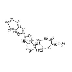 CC(C)C[C@H](NC(=O)c1cc2ccccc2o1)C(=O)N[C@H]1CC[C@@H](C)N(C(=O)O)C[C@@H]1O